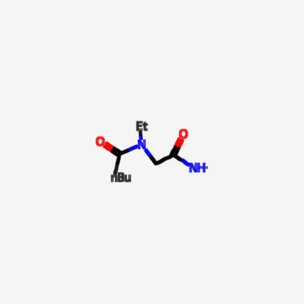 CCCCC(=O)N(CC)CC([NH])=O